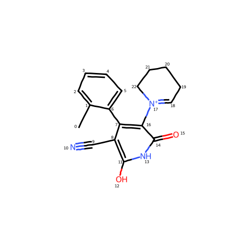 Cc1ccccc1-c1c(C#N)c(O)[nH]c(=O)c1[N+]1=CCCCC1